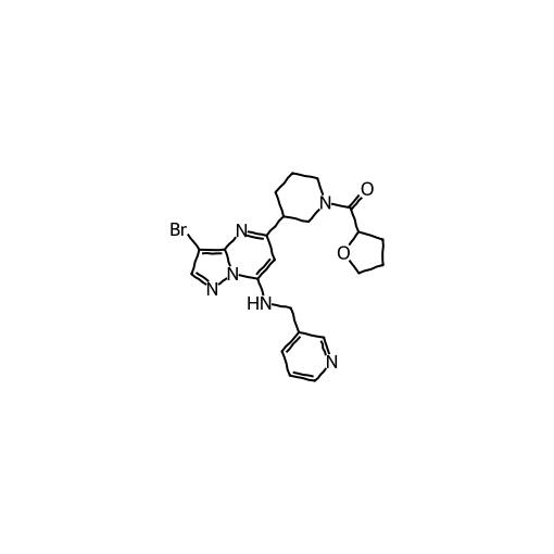 O=C(C1CCCO1)N1CCCC(c2cc(NCc3cccnc3)n3ncc(Br)c3n2)C1